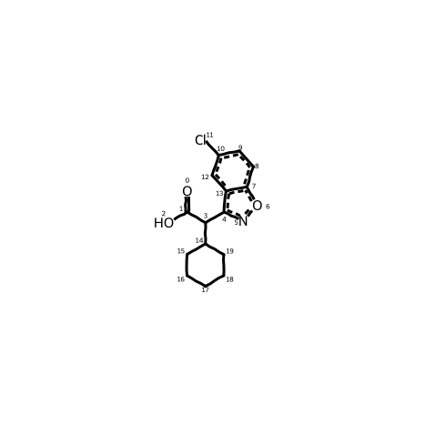 O=C(O)C(c1noc2ccc(Cl)cc12)C1CCCCC1